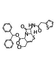 O=C(Cc1cccs1)N[C@@H]1C(=O)N2C(C(=O)OC(c3ccccc3)c3ccccc3)C(CCl)=CS[C@H]12